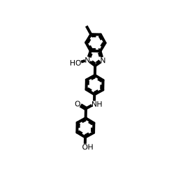 Cc1ccc2nc(-c3ccc(NC(=O)c4ccc(O)cc4)cc3)n(O)c2c1